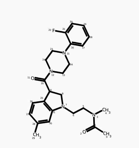 CC(=O)N(C)CCN1CC(C(=O)N2CCN(c3ccccc3F)CC2)c2ccc(C)cc21